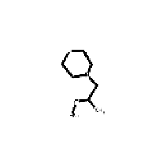 CC(CN1CCOCC1)OC(C)(C)C